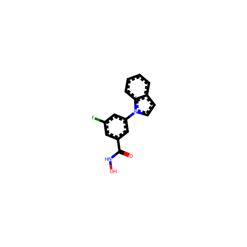 O=C(NO)c1cc(F)cc(-n2ccc3c[c]ccc32)c1